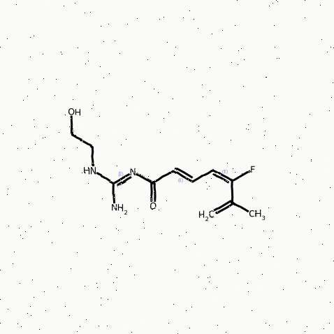 C=C(C)/C(F)=C\C=C\C(=O)/N=C(\N)NCCO